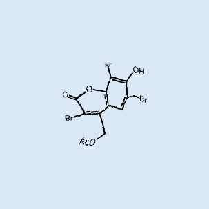 CC(=O)OCc1c(Br)c(=O)oc2c(Br)c(O)c(Br)cc12